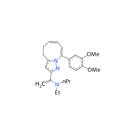 C=C(c1cc2n(n1)/C(c1ccc(OC)c(OC)c1)=C\C=C/CC2)N(CC)CCC